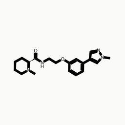 CN1CCCC[C@@H]1C(=O)NCCOc1c[c]cc(-c2cnn(C)c2)c1